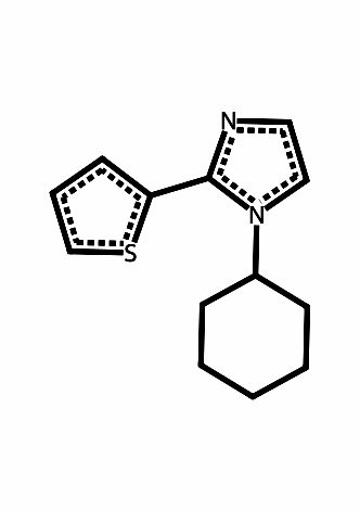 c1csc(-c2nccn2C2CCCCC2)c1